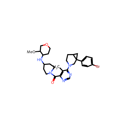 COC1COCCC1NC1CCN(C(=O)c2ncnc(N3CCC4CC4(c4ccc(Br)cc4)C3)c2C)CC1